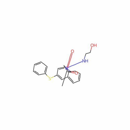 O=C1CC2=CC(Sc3ccccc3)=CC3=CC=CCC32C(=O)N1NCCO